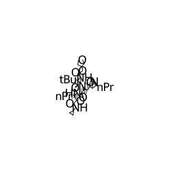 CCCC1=NO[C@]2(C1)C[C@@H](C(=O)N[C@@H](CCC)C(=O)C(=O)NC1CC1)N(C(=O)[C@@H](NC(=O)OC1CCOC1)C(C)(C)C)C2